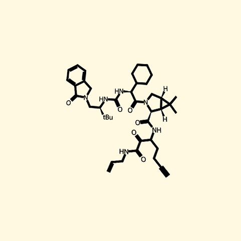 C#CCCC(NC(=O)[C@@H]1[C@@H]2[C@H](CN1C(=O)[C@@H](NC(=O)N[C@H](CN1Cc3ccccc3C1=O)C(C)(C)C)C1CCCCC1)C2(C)C)C(=O)C(=O)NCC=C